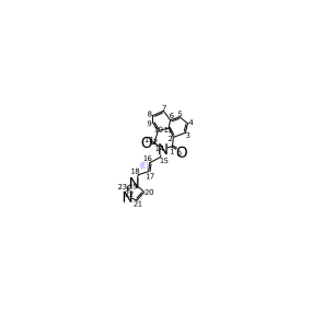 O=C1c2cccc3cccc(c23)C(=O)N1C/C=C/Cn1ccnc1